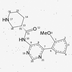 COc1ccccc1-c1cc(NC(=O)[C@H]2CCCNC2)ncn1